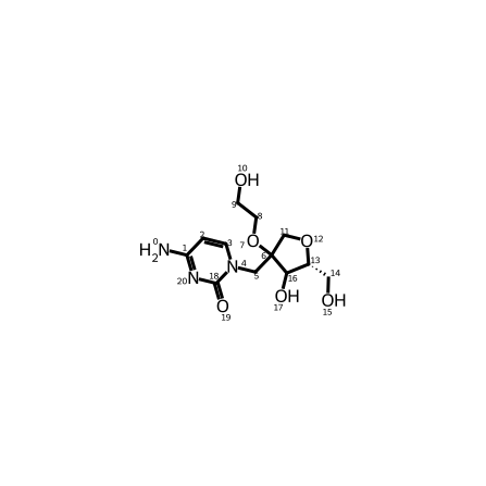 Nc1ccn(CC2(OCCO)CO[C@H](CO)C2O)c(=O)n1